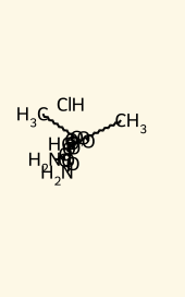 CCCCCCCCCCCCCC(=O)OC[C@H](COP(=O)(O)OCC(COC(=O)CCN)OC(=O)CCN)OC(=O)CCCCCCCCCCCCC.Cl